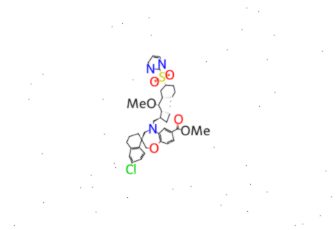 COC(=O)c1ccc2c(c1)N(C[C@@H]1CC[C@H]1[C@H](OC)[C@H]1CCC[C@@H](S(=O)(=O)c3ncccn3)C1)C[C@@]1(CCCc3cc(Cl)ccc31)CO2